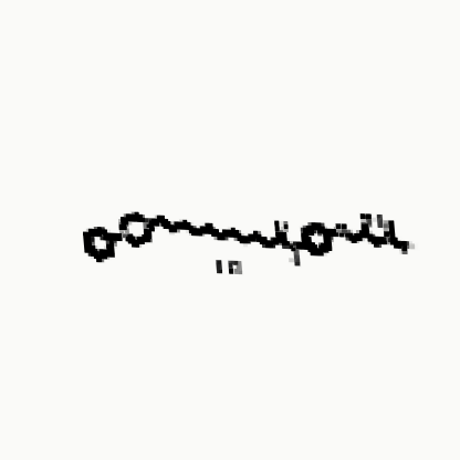 CC(C)NCC(O)COc1ccc(NC(=O)CCCCCCCCCCN2CCN(c3ccccc3)CC2)cc1.Cl